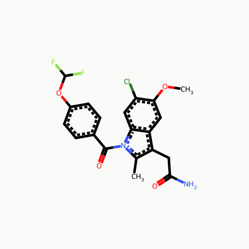 COc1cc2c(CC(N)=O)c(C)n(C(=O)c3ccc(OC(F)F)cc3)c2cc1Cl